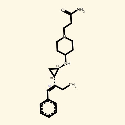 CC/C(=C\c1ccccc1)[C@@H]1C[C@H]1NC1CCN(CCC(N)=O)CC1